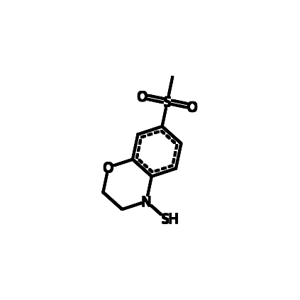 CS(=O)(=O)c1ccc2c(c1)OCCN2S